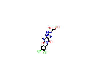 Cn1c(NC[C@@H](O)CO)nc2c1c(=O)n(Cc1ccc(Cl)c(Cl)c1)c(=O)n2C